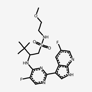 COCCNS(=O)(=O)CC(Nc1nc(-c2c[nH]c3ncc(F)cc23)ncc1F)C(C)(C)C